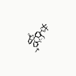 CN(C)c1ccc2c(c1)[Si](C)(C)c1c(ccc(B3OC(C)(C)C(C)(C)O3)c1CF)C21OC(=O)c2ccccc21